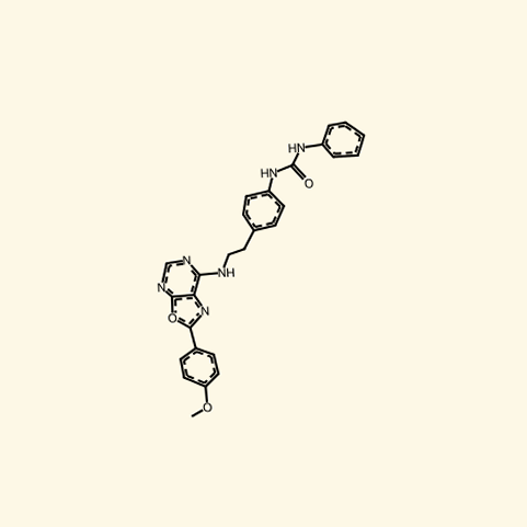 COc1ccc(-c2nc3c(NCCc4ccc(NC(=O)Nc5ccccc5)cc4)ncnc3o2)cc1